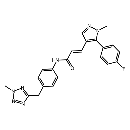 Cn1nnc(Cc2ccc(NC(=O)C=Cc3cnn(C)c3-c3ccc(F)cc3)cc2)n1